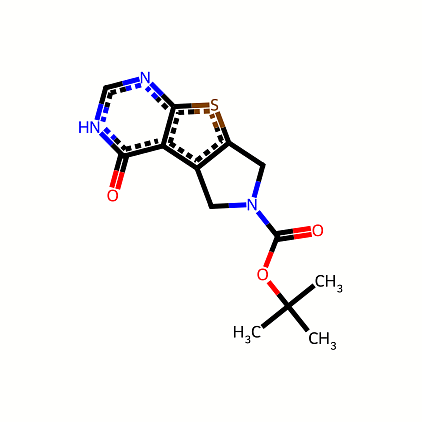 CC(C)(C)OC(=O)N1Cc2sc3nc[nH]c(=O)c3c2C1